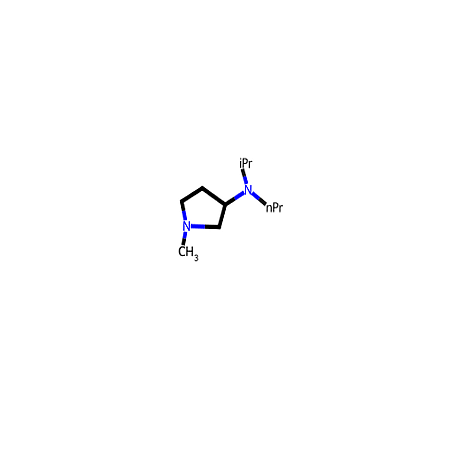 CCCN(C(C)C)C1CCN(C)C1